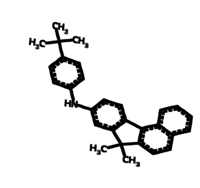 CC(C)(C)c1ccc(Nc2ccc3c(c2)C(C)(C)c2ccc4ccccc4c2-3)cc1